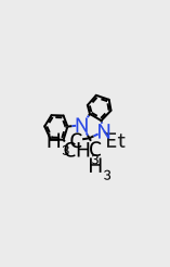 CCN1c2ccccc2N(c2ccccc2C)C1(C)C